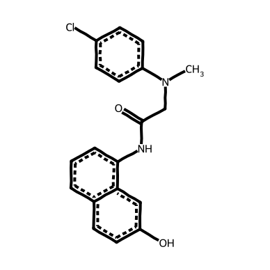 CN(CC(=O)Nc1cccc2ccc(O)cc12)c1ccc(Cl)cc1